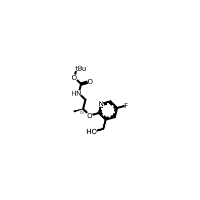 C[C@@H](CNC(=O)OC(C)(C)C)Oc1ncc(F)cc1CO